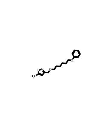 Cc1cc(COCCCCCCOc2ccccc2)no1